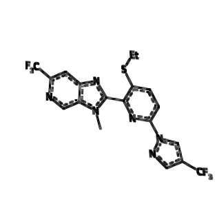 CCSc1ccc(-n2cc(C(F)(F)F)cn2)nc1-c1nc2cc(C(F)(F)F)ncc2n1C